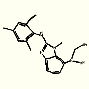 CCCN(CC(C)C)c1cccc2nc(Nc3c(C)cc(C)cc3C)n(C)c12